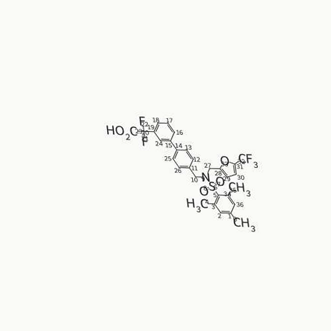 Cc1cc(C)c(S(=O)(=O)N(Cc2ccc(-c3cccc(C(F)(F)C(=O)O)c3)cc2)Cc2ccc(C(F)(F)F)o2)c(C)c1